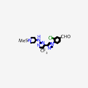 CSN1CCC(Nc2ncc(C(F)(F)F)c(-c3cn(-c4ccc(C=O)cc4Cl)cn3)n2)CC1